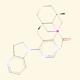 Cc1c(OC2[C@@H]3COC[C@H]2CN(C(=O)O)C3)ncnc1N1CCc2ncccc21